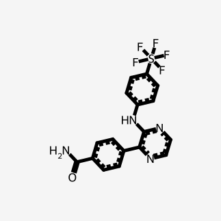 NC(=O)c1ccc(-c2nccnc2Nc2ccc(S(F)(F)(F)(F)F)cc2)cc1